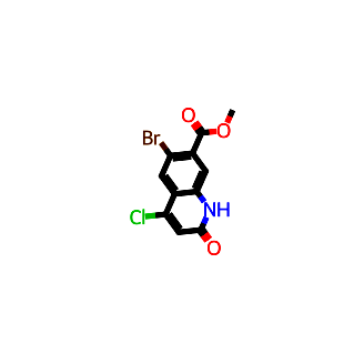 COC(=O)c1cc2[nH]c(=O)cc(Cl)c2cc1Br